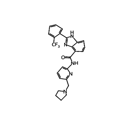 O=C(Nc1cccc(CN2CCCC2)n1)c1cccc2[nH]c(-c3ccccc3C(F)(F)F)nc12